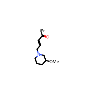 COC1CCCN(C/C=C/C(=O)C(C)C)C1